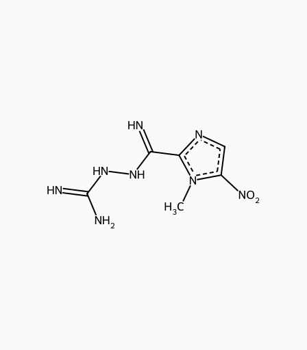 Cn1c([N+](=O)[O-])cnc1C(=N)NNC(=N)N